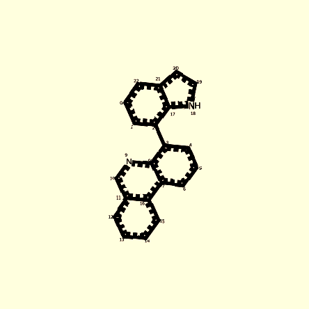 c1cc(-c2cccc3c2ncc2ccccc23)c2[nH]ccc2c1